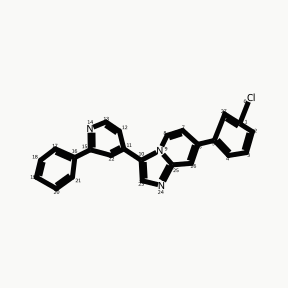 Clc1cccc(-c2ccn3c(-c4ccnc(-c5ccccc5)c4)cnc3c2)c1